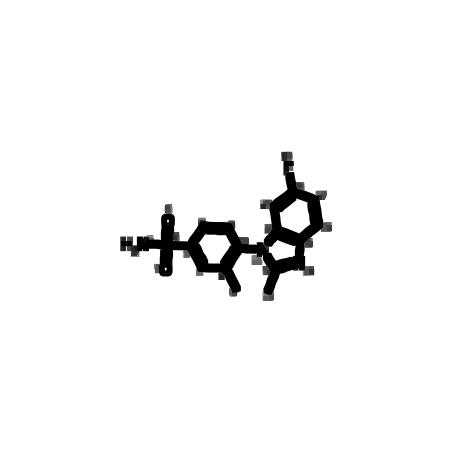 Cc1cc(S(N)(=O)=O)ccc1-n1c(C)nc2ccc(F)cc21